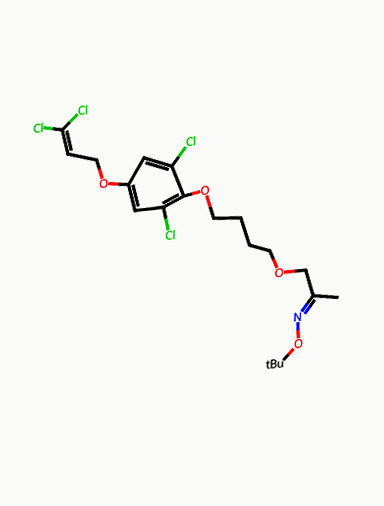 CC(COCCCCOc1c(Cl)cc(OCC=C(Cl)Cl)cc1Cl)=NOC(C)(C)C